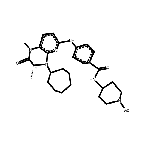 CC(=O)N1CCC(NC(=O)c2ccc(Nc3ccc4c(n3)N(C3CCCCCC3)[C@H](C)C(=O)N4C)cc2)CC1